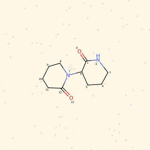 O=C1NCCCC1N1CCCCC1=O